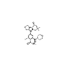 CC1(C)CC(=O)c2c3c(n(-c4cc(F)c(C(N)=O)c(NC5CCOCC5)c4)c2C1)CCC3